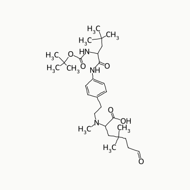 CN(CCc1ccc(NC(=O)C(CC(C)(C)C)NC(=O)OC(C)(C)C)cc1)C(CC(C)(C)CCC=O)C(=O)O